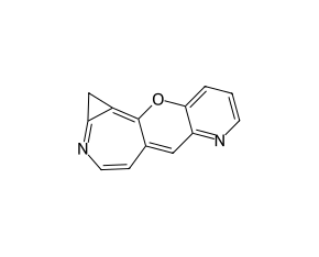 C1=CC2=Cc3ncccc3OC2=C2CC2=N1